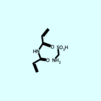 C=CC(=O)NC(=O)C=C.NCS(=O)(=O)O